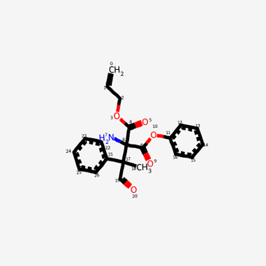 C=CCOC(=O)C(N)(C(=O)Oc1ccccc1)C(C)(C=O)c1ccccc1